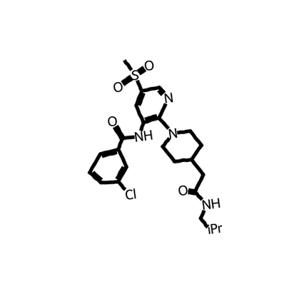 CC(C)CNC(=O)CC1CCN(c2ncc(S(C)(=O)=O)cc2NC(=O)c2cccc(Cl)c2)CC1